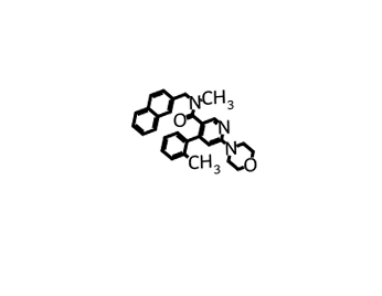 Cc1ccccc1-c1cc(N2CCOCC2)ncc1C(=O)N(C)Cc1ccc2ccccc2c1